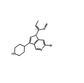 C=N/C(=C\C)n1cc(C2CCNCC2)c2cnc(Br)cc21